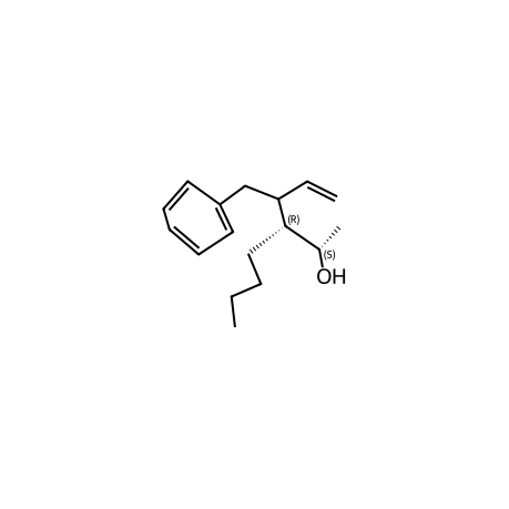 C=CC(Cc1ccccc1)[C@@H](CCCC)[C@H](C)O